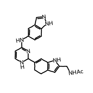 CC(=O)NCc1cc2c([nH]1)C=C(C1N=C(Nc3ccc4[nH]ncc4c3)C=CN1)CC2